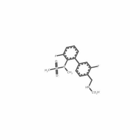 CN(c1c(F)cccc1-c1ccc(CNC(=O)O)c(F)c1)S(C)(=O)=O